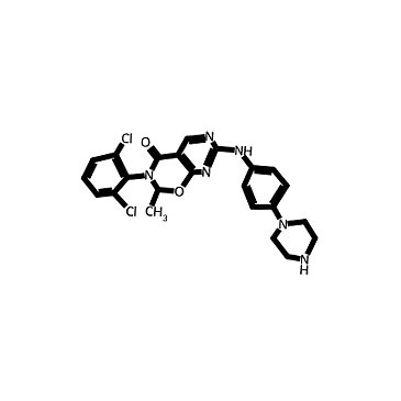 CC1Oc2nc(Nc3ccc(N4CCNCC4)cc3)ncc2C(=O)N1c1c(Cl)cccc1Cl